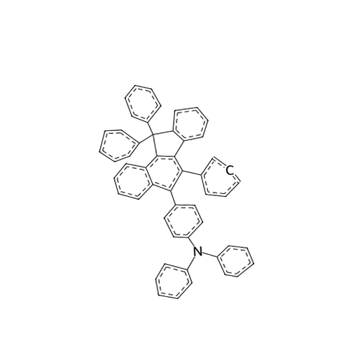 c1ccc(-c2c3c(c4ccccc4c2-c2ccc(N(c4ccccc4)c4ccccc4)cc2)C(c2ccccc2)(c2ccccc2)c2ccccc2-3)cc1